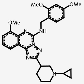 COc1ccc(CNc2nc3c(OC)cccc3c3nc(C4CCCN(C5CC5)C4)nn23)c(OC)c1